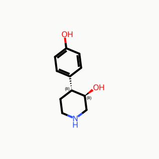 Oc1ccc([C@H]2CCNC[C@@H]2O)cc1